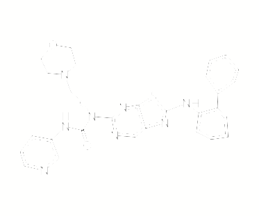 O=C(Nc1cccnc1)N(CCN1CCOCC1)c1ncc2nc(Nc3ccccc3-c3ccccc3)sc2n1